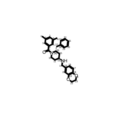 Cc1cc(C)cc(C(=O)N2CC[C@H](NCc3ccc4c(c3)OCCO4)C[C@H]2Cc2ccccc2)c1